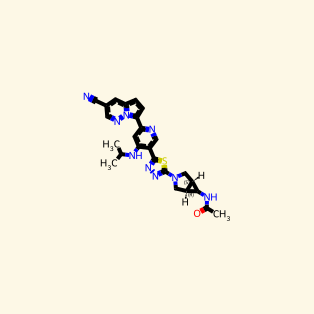 CC(=O)NC1[C@H]2CN(c3nnc(-c4cnc(-c5ccc6cc(C#N)cnn56)cc4NC(C)C)s3)C[C@@H]12